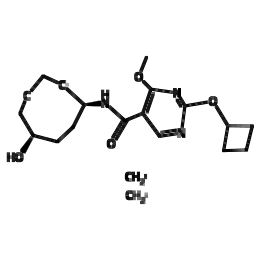 COc1nc(OC2CCC2)ncc1C(=O)N[C@@H]1[CH]CCC[C@H](O)CC1.[CH2].[CH2]